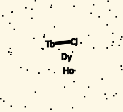 [Cl][Tb].[Dy].[Ho]